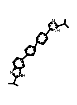 CC(C)c1ncc(-c2ccc(-c3ccc(-c4ccc5nc(C(C)C)[nH]c5c4)cc3)cc2)[nH]1